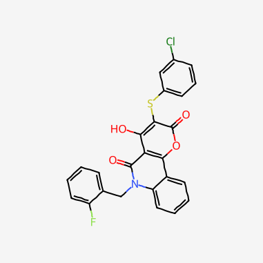 O=c1oc2c(c(O)c1Sc1cccc(Cl)c1)c(=O)n(Cc1ccccc1F)c1ccccc21